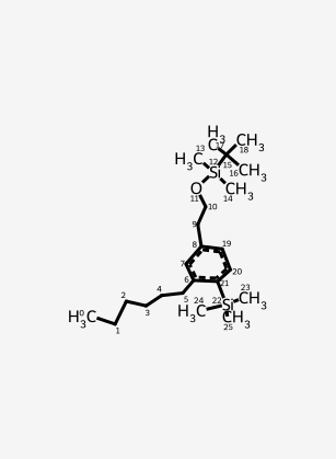 CCCCCCc1cc(CCO[Si](C)(C)C(C)(C)C)ccc1[Si](C)(C)C